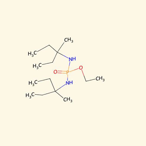 CCOP(=O)(NC(C)(CC)CC)NC(C)(CC)CC